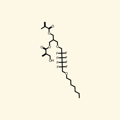 C=C(C)C(=O)OCC(COCC(F)(F)C(F)(F)C(F)(F)C(F)(F)COCCCCCCC)COC(=O)C(=C)CO